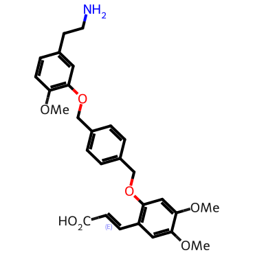 COc1cc(/C=C/C(=O)O)c(OCc2ccc(COc3cc(CCN)ccc3OC)cc2)cc1OC